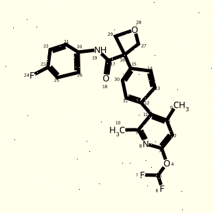 Cc1cc(OC(F)F)nc(C)c1-c1ccc(C2(C(=O)Nc3ccc(F)cc3)COC2)cc1